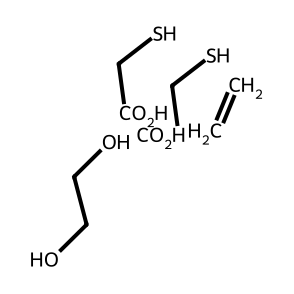 C=C.O=C(O)CS.O=C(O)CS.OCCO